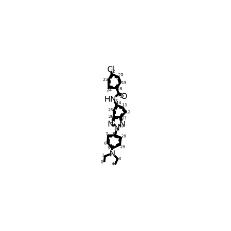 CCN(CC)c1ccc(-n2nc3ccc(NC(=O)c4ccc(Cl)cc4)cc3n2)cc1